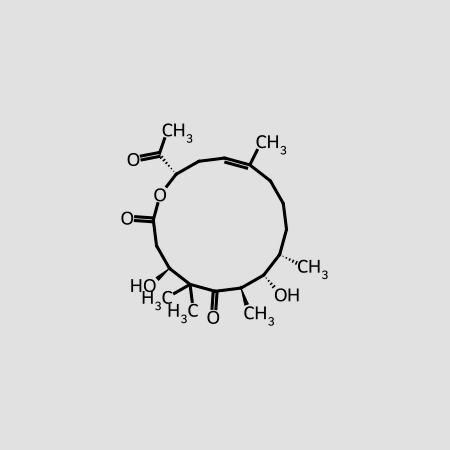 CC(=O)[C@@H]1C/C=C(/C)CCC[C@H](C)[C@H](O)[C@@H](C)C(=O)C(C)(C)[C@@H](O)CC(=O)O1